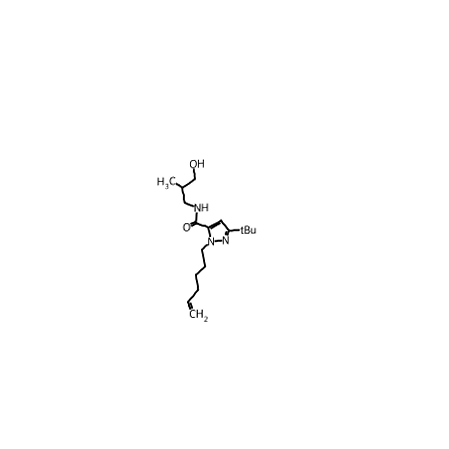 C=CCCCCn1nc(C(C)(C)C)cc1C(=O)NCC(C)CO